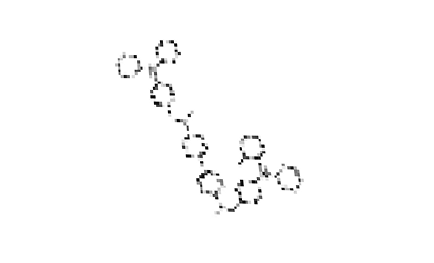 Cc1ccccc1N(c1ccc(CC(C)c2ccc(-c3ccc(C(C)Cc4ccc(N(c5ccccc5)c5ccccc5)cc4)cc3)cc2)cc1)C1C=CC=CC1